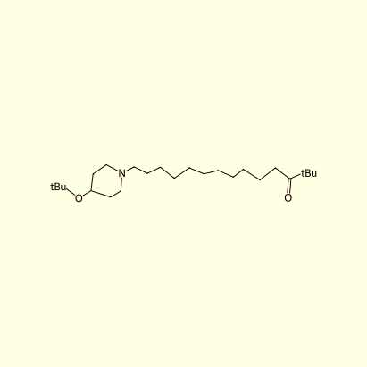 CC(C)(C)OC1CCN(CCCCCCCCCCCC(=O)C(C)(C)C)CC1